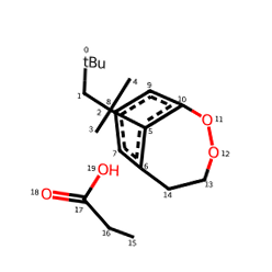 CC(C)(C)CC(C)(C)c1c2cccc1OOCC2.CCC(=O)O